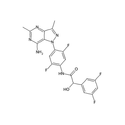 Cc1nc(N)c2c(n1)c(C)nn2-c1cc(F)c(NC(=O)C(O)c2cc(F)cc(F)c2)cc1F